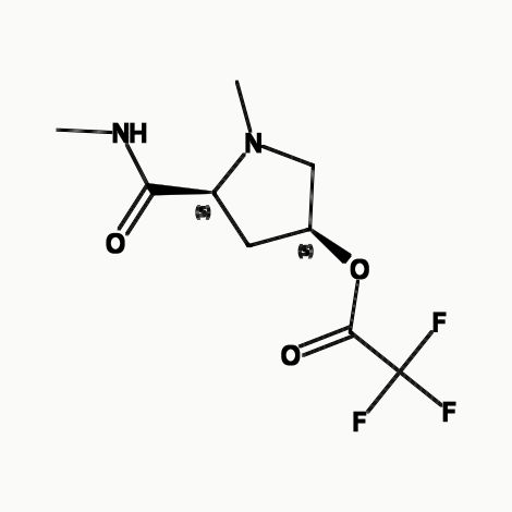 CNC(=O)[C@@H]1C[C@H](OC(=O)C(F)(F)F)CN1C